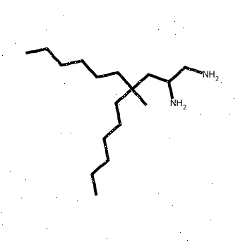 CCCCCCC(C)(CCCCCC)CC(N)CN